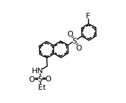 CCS(=O)(=O)NCc1cccc2cc(S(=O)(=O)c3cccc(F)c3)ccc12